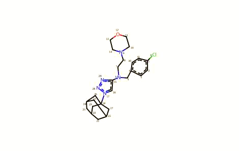 Clc1ccc(CN(CCN2CCOCC2)c2cn(C34CC5CC(CC(C5)C3)C4)nn2)cc1